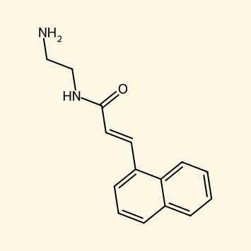 NCCNC(=O)C=Cc1cccc2ccccc12